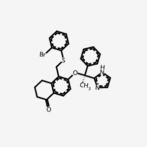 C[C@](Oc1ccc2c(c1CSc1ccccc1Br)CCCC2=O)(c1ccccc1)c1ncc[nH]1